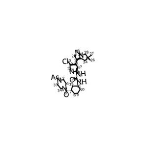 CC(=O)N1CCN(C(=O)[C@H]2CCC[C@@H](NC(=O)Nc3cc(-c4cnn5c4CC(C)(C)C5)c(Cl)cn3)C2)CC1